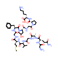 CSCC[C@H](NC(=O)[C@@H](NC(=O)CNC(=O)[C@H](C)NC(=O)[C@H](CCC(N)=O)NC(=O)CN)C(C)C)C(=O)NCC(=O)N[C@@H](Cc1ccccc1)C(=O)N1C[C@H](O)C[C@H]1C(=O)NCC(=O)N1CCC[C@H]1C(=O)N[C@@H](CCCCN)C(=O)O